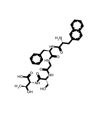 C[C@H](O)[C@@H](NC(=O)[C@@H](CO)NC(=O)CNC(=O)[C@@H](Cc1ccccc1)NC(=O)[C@H](N)Cc1ccc2ccccc2c1)C(=O)O